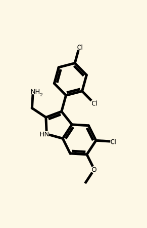 COc1cc2[nH]c(CN)c(-c3ccc(Cl)cc3Cl)c2cc1Cl